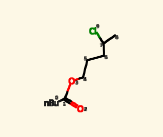 CCCCC(=O)OCCCC(C)Cl